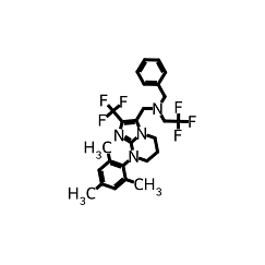 Cc1cc(C)c(N2CCCn3c2nc(C(F)(F)F)c3CN(Cc2ccccc2)CC(F)(F)F)c(C)c1